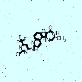 C[C@@H]1CNc2c(oc3ccc4nc(Nc5cc(C(F)(F)F)nc(Cl)n5)ccc4c23)C(=O)N1